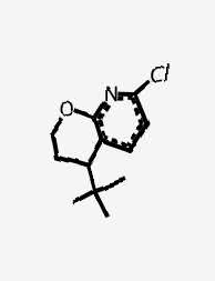 CC(C)(C)C1CCOc2nc(Cl)ccc21